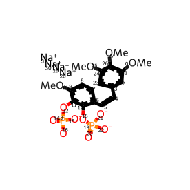 COc1cc(/C=C\c2ccc(OC)c(OP(=O)([O-])[O-])c2OP(=O)([O-])[O-])cc(OC)c1OC.[Na+].[Na+].[Na+].[Na+]